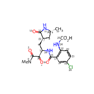 CNC(=O)C(=O)C(C[C@@H]1C[C@@H](C)NC1=O)NC(=O)c1cc(Cl)ccc1NC(=O)O